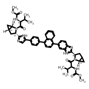 COC(=O)NC(C(=O)N1[C@@H](c2nc3ccc(-c4ccc(-c5ccc(-c6cnc([C@@H]7C[C@@H]8C[C@@H]8N7C(=O)[C@@H](NC(=O)OC)C(C)C)[nH]6)cc5)c5c4C=C=C=C5)cc3[nH]2)CC2C[C@@H]21)C(C)C